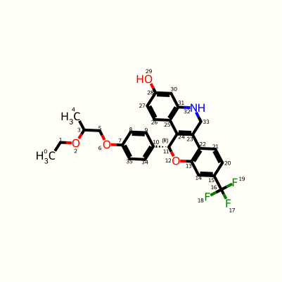 CCOC(C)COc1ccc([C@H]2Oc3cc(C(F)(F)F)ccc3C3=C2c2ccc(O)cc2NC3)cc1